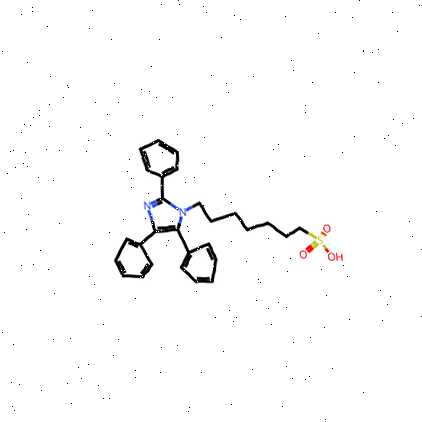 O=S(=O)(O)CCCCCCCn1c(-c2ccccc2)nc(-c2ccccc2)c1-c1ccccc1